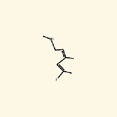 CNC/C=C(C)\C=C(/C)F